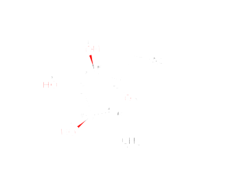 CC(=O)C[C@@H]1O[C@H](C)[C@@H](O)[C@H](O)[C@H]1O